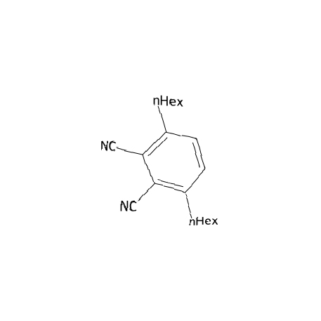 CCCCCCc1ccc(CCCCCC)c(C#N)c1C#N